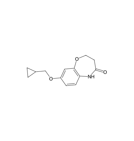 O=C1CCOc2cc(OCC3CC3)ccc2N1